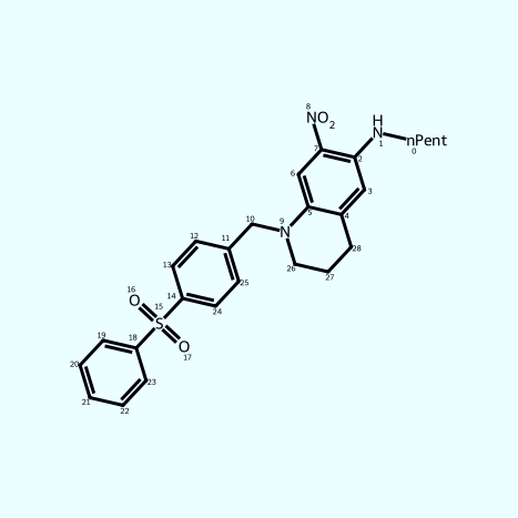 CCCCCNc1cc2c(cc1[N+](=O)[O-])N(Cc1ccc(S(=O)(=O)c3ccccc3)cc1)CCC2